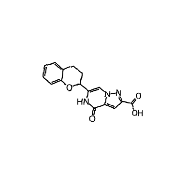 O=C(O)c1cc2c(=O)[nH]c(C3CCc4ccccc4O3)cn2n1